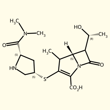 CC1C(S[C@@H]2CN[C@H](C(=O)N(C)C)C2)=C(C(=O)O)N2C(=O)C([C@@H](C)O)[C@@H]12